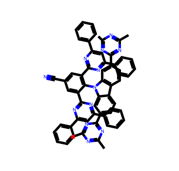 Cc1nc(C)nc(-c2ccc3c4ccc(-c5nc(C)nc(C)n5)cc4n(-c4c(-c5nc(-c6ccccc6)cc(-c6ccccc6)n5)cc(C#N)cc4-c4nc(-c5ccccc5)cc(-c5ccccc5)n4)c3c2)n1